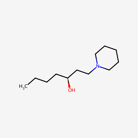 CCCC[C@H](O)CCN1CCCCC1